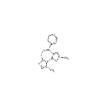 Cc1cc2c(s1)-n1c(C)nnc1CN=C2c1ccccc1